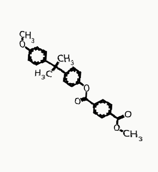 COC(=O)c1ccc(C(=O)Oc2ccc(C(C)(C)c3ccc(OC)cc3)cc2)cc1